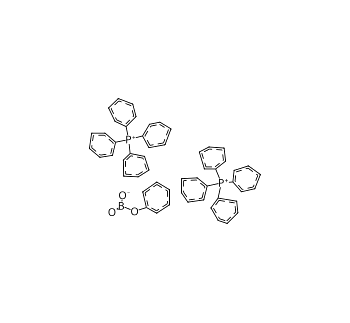 [O-]B([O-])Oc1ccccc1.c1ccc([P+](c2ccccc2)(c2ccccc2)c2ccccc2)cc1.c1ccc([P+](c2ccccc2)(c2ccccc2)c2ccccc2)cc1